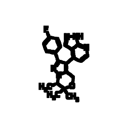 C[C@H]1n2nc(-c3ccc(F)cc3)c(-c3ccnc4[nH]ncc34)c2COC1(C)C